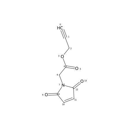 C#CCOC(=O)CN1C(=O)C=CC1=O